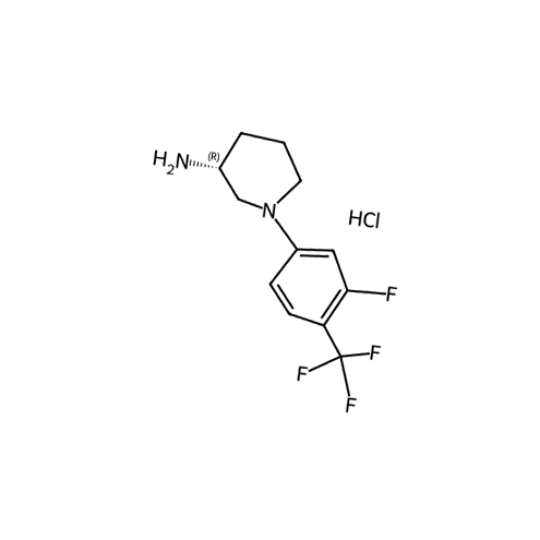 Cl.N[C@@H]1CCCN(c2ccc(C(F)(F)F)c(F)c2)C1